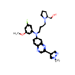 COc1cc(F)cc(N(CCCN2CCC[C@H]2CO)c2ccc3ncc(-c4cnn(C)c4)nc3c2)c1